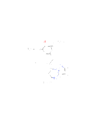 CCCCc1cc(C(=Cc2cc(OC)c(O)c(OC)c2)C(=O)O)n2nccc2n1